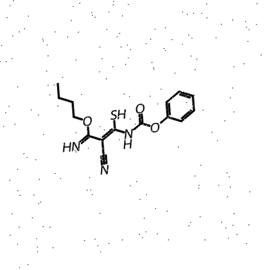 CCCCOC(=N)/C(C#N)=C(\S)NC(=O)Oc1ccccc1